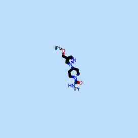 CC(C)NC(=O)N1CCC(n2cc(COC(C)C)cn2)CC1